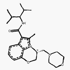 Cc1c(C(=O)NC(C(C)C)C(C)C)c2cccc3c2n1[C@H](CN1CCOCC1)CO3